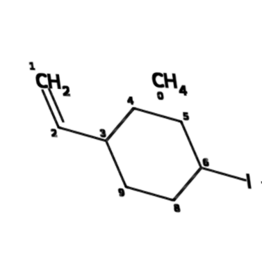 C.C=CC1CCC(I)CC1